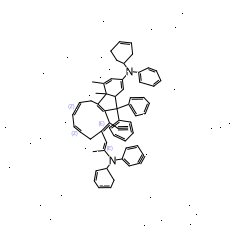 C#C/C1=C(\C=C(/C)N(c2cc#ccc2)C2C=CC=CC2)C/C=C\C=C/CC2=C1C(c1ccccc1)(c1ccccc1)C1C=C(N(c3ccccc3)C3CC=CCC3)C=C(C)C21C